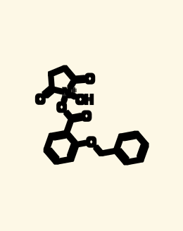 O=C(O[N+]1(O)C(=O)CCC1=O)c1ccccc1OCc1ccccc1